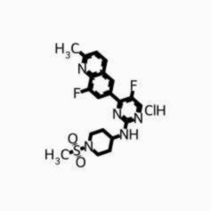 Cc1ccc2cc(-c3nc(NC4CCN(S(C)(=O)=O)CC4)ncc3F)cc(F)c2n1.Cl